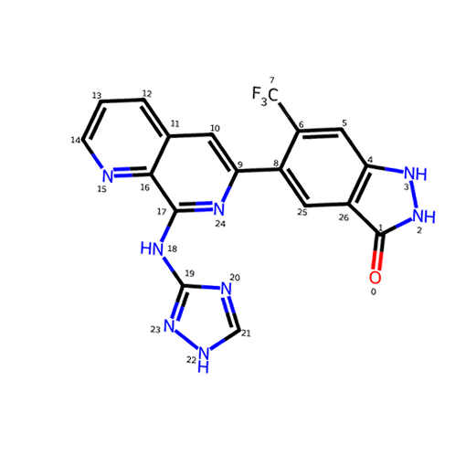 O=c1[nH][nH]c2cc(C(F)(F)F)c(-c3cc4cccnc4c(Nc4nc[nH]n4)n3)cc12